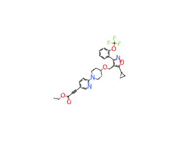 CCOC(=O)C#Cc1ccc(N2CCC(OCc3c(-c4ccccc4OC(F)(F)F)noc3C3CC3)CC2)nc1